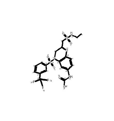 CCNS(=O)(=O)CC1CN(S(=O)(=O)c2cccc(C(F)(F)F)c2)c2cc(NC(=O)O)ccc2O1